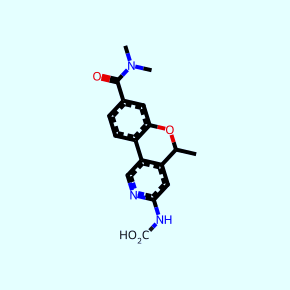 CC1Oc2cc(C(=O)N(C)C)ccc2-c2cnc(NC(=O)O)cc21